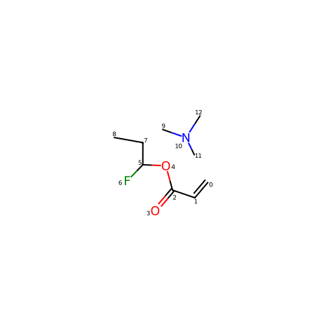 C=CC(=O)OC(F)CC.CN(C)C